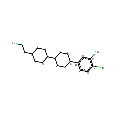 FCCC1CCC(C2CCC(c3ccc(F)c(F)c3)CC2)CC1